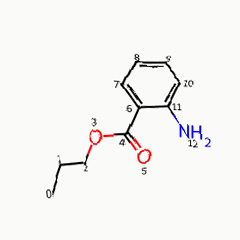 CCCOC(=O)c1ccccc1N